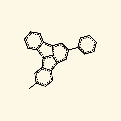 Cc1ccc2c3cc(-c4ccccc4)cc4c5ccccc5n(c2c1)c43